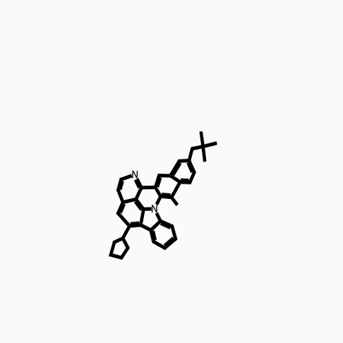 Cc1c2ccc(CC(C)(C)C)cc2cc2c3nccc4cc(C5CCCC5)c5c6ccccc6n(c12)c5c43